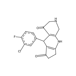 O=C1CCC2=C1C(c1ccc(F)c(Cl)c1)C1=C(CNCC1=O)N2